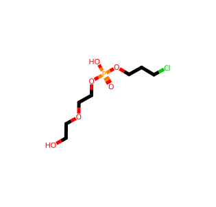 O=P(O)(OCCCCl)OCCOCCO